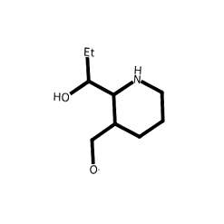 CCC(O)C1NCCCC1C[O]